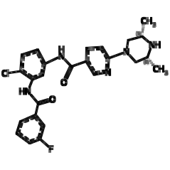 C[C@@H]1CN(c2ccc(C(=O)Nc3ccc(Cl)c(NC(=O)c4cccc(F)c4)c3)cn2)C[C@H](C)N1